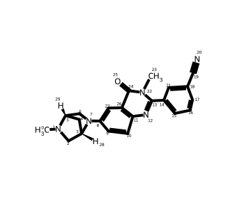 CN1C[C@@H]2C[C@H]1CN2c1ccc2nc(-c3cccc(C#N)c3)n(C)c(=O)c2c1